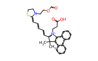 CC1(C)C(/C=C/C=C/C=C2/SCCN2CCOC=O)=[N+](CCC(=O)O)c2c1c1ccccc1c1ccccc21